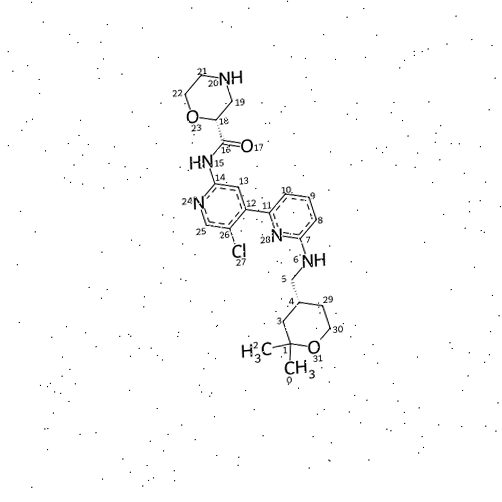 CC1(C)C[C@H](CNc2cccc(-c3cc(NC(=O)[C@H]4CNCCO4)ncc3Cl)n2)CCO1